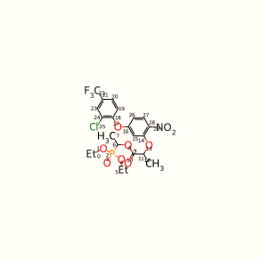 CCOP(=O)(OCC)C(C)OC(=O)C(C)Oc1cc(Oc2ccc(C(F)(F)F)cc2Cl)ccc1[N+](=O)[O-]